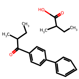 CCC(C)C(=O)O.CCC(C)C(=O)c1ccc(-c2ccccc2)cc1